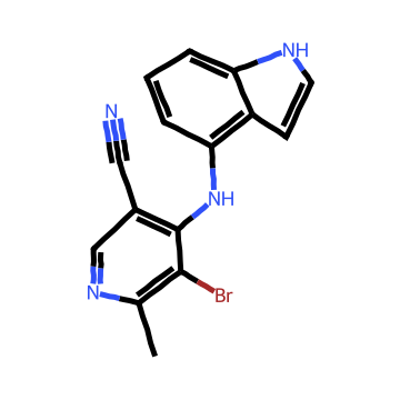 Cc1ncc(C#N)c(Nc2cccc3[nH]ccc23)c1Br